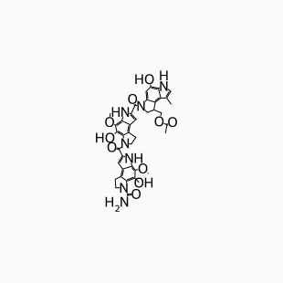 COc1c(O)c2c(c3cc(C(=O)N4CCc5c4c(O)c(OC)c4[nH]c(C(=O)N6CC(COC(C)=O)c7c6cc(O)c6[nH]cc(C)c76)cc54)[nH]c13)CCN2C(N)=O